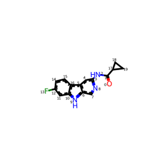 O=C(Nc1cc2c(cn1)[nH]c1cc(F)ccc12)C1CC1